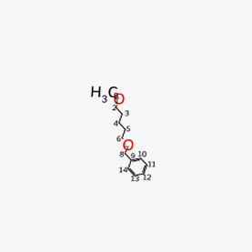 COCCCCCOCc1ccccc1